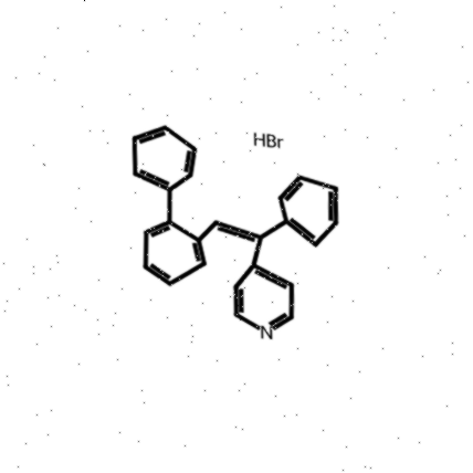 Br.C(=C(c1ccccc1)c1ccncc1)c1ccccc1-c1ccccc1